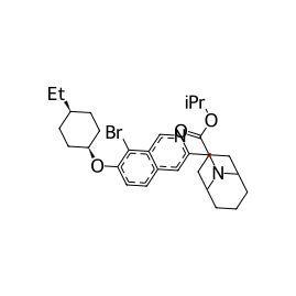 CC[C@H]1CC[C@@H](Oc2ccc3cc(CN4C5CCCC4CC(C(=O)OC(C)C)C5)ncc3c2Br)CC1